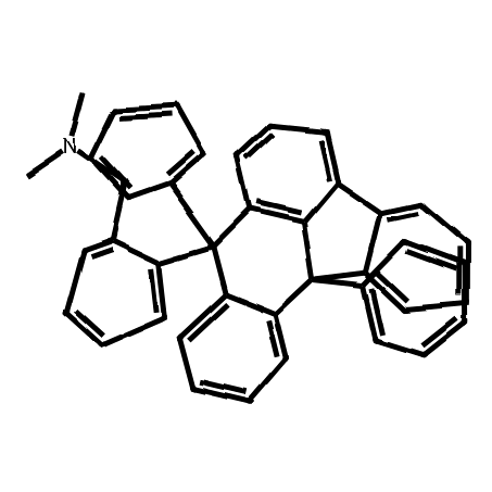 CN(C)Cc1ccccc1C1(c2ccccc2)c2ccccc2C2(c3ccccc3)c3ccccc3-c3cccc1c32